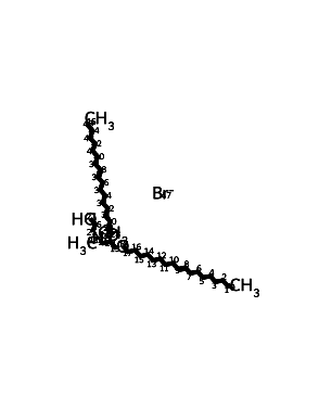 CCCCCCCCC=CCCCCCCCCOCC(C[N+](C)(C)CCO)OCCCCCCCCC=CCCCCCCCC.[Br-]